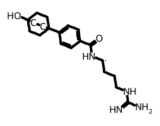 N=C(N)NCCC[CH]NC(=O)c1ccc(C23CCC(O)(CC2)CC3)cc1